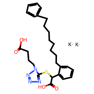 O=C(O)CCCn1nnnc1SC(C(=O)O)c1ccccc1CCCCCCCCc1ccccc1.[K].[K]